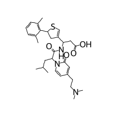 Cc1cccc(C)c1C1CC(C(CC(=O)O)NC(=O)C(CC(C)C)n2ccc(CCN(C)C)cc2=O)=CS1